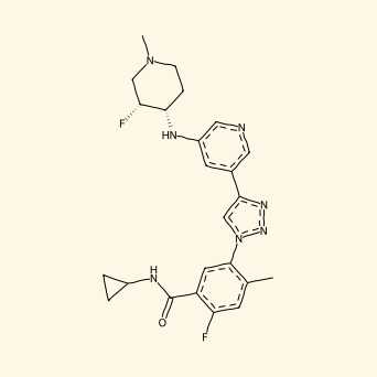 Cc1cc(F)c(C(=O)NC2CC2)cc1-n1cc(-c2cncc(N[C@H]3CCN(C)C[C@H]3F)c2)nn1